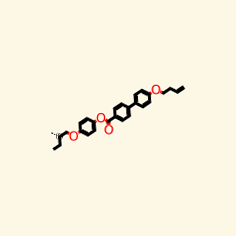 C=CCCOc1ccc(-c2ccc(C(=O)Oc3ccc(OC[C@@H](C)CC)cc3)cc2)cc1